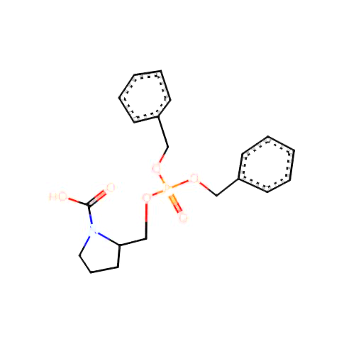 O=C(O)N1CCCC1COP(=O)(OCc1ccccc1)OCc1ccccc1